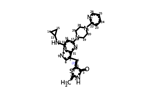 C=c1[nH]c(=O)/c(=C/c2cnn3c(NC4CC4)cc(N4CCN(c5ccccn5)CC4)nc23)s1